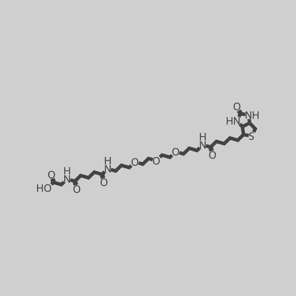 O=C(O)CNC(=O)CCCC(=O)NCCCOCCOCCOCCCNC(=O)CCCCC1SCC2NC(=O)NC21